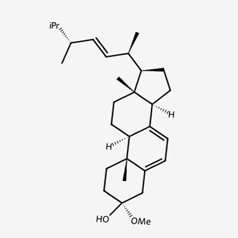 CO[C@]1(O)CC[C@@]2(C)C(=CC=C3[C@@H]4CC[C@H]([C@H](C)C=C[C@H](C)C(C)C)[C@@]4(C)CC[C@@H]32)C1